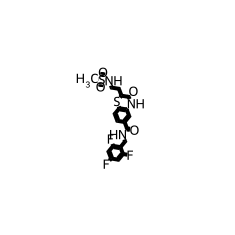 CS(=O)(=O)NCCC1Sc2ccc(C(=O)NCc3c(F)cc(F)cc3F)cc2NC1=O